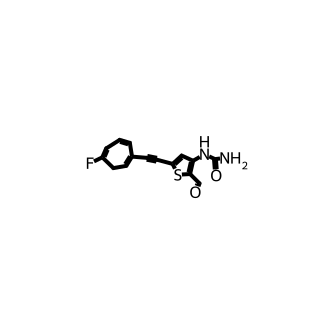 NC(=O)Nc1cc(C#CC2=CCC(F)=CC=C2)sc1C=O